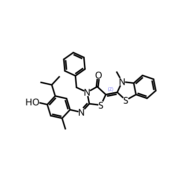 Cc1cc(O)c(C(C)C)cc1N=C1S/C(=C2\Sc3ccccc3N2C)C(=O)N1Cc1ccccc1